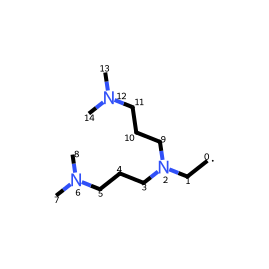 [CH2]CN(CCCN(C)C)CCCN(C)C